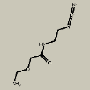 CCOCC(=O)NCCN=[N+]=[N-]